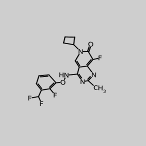 Cc1nc(NOc2cccc(C(F)F)c2F)c2cn(C3CCC3)c(=O)c(F)c2n1